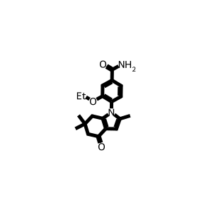 CCOc1cc(C(N)=O)ccc1-n1c(C)cc2c1CC(C)(C)CC2=O